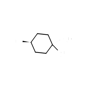 CCOC(=O)[C@]1(O)CC[C@@H](O)CC1